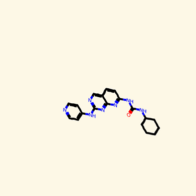 O=C(Nc1ccc2cnc(Nc3ccncc3)nc2n1)NC1CCCCC1